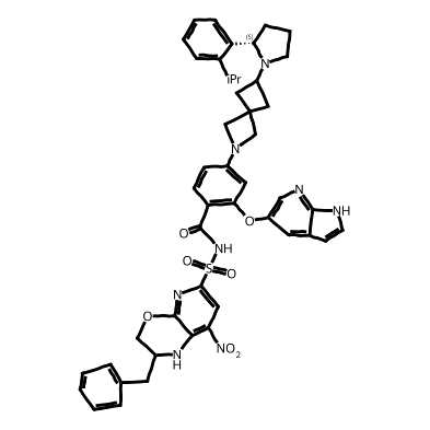 CC(C)c1ccccc1[C@@H]1CCCN1C1CC2(C1)CN(c1ccc(C(=O)NS(=O)(=O)c3cc([N+](=O)[O-])c4c(n3)OCC(Cc3ccccc3)N4)c(Oc3cnc4[nH]ccc4c3)c1)C2